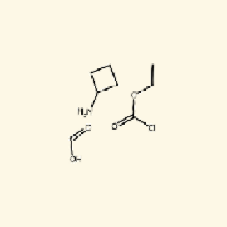 CCOC(=O)Cl.NC1CCC1.O=CO